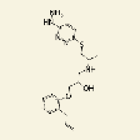 C=CCc1ccccc1OCC(O)CNC(C)CSc1ccc(NN)nn1